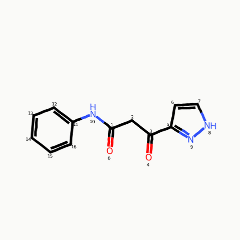 O=C(CC(=O)c1cc[nH]n1)Nc1ccccc1